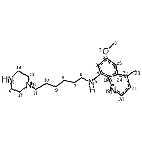 COc1cc(NCCCCCCN2CCNCC2)c2nccc(C)c2c1